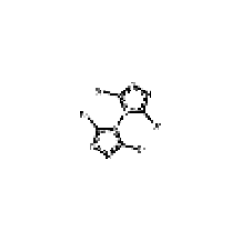 Brc1nnc(Br)n1-n1c(Br)nnc1Br